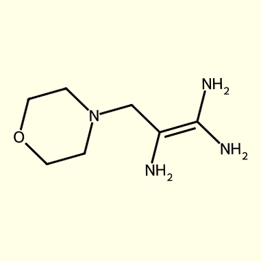 NC(N)=C(N)CN1CCOCC1